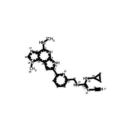 CNc1nc2[nH]c(-c3cccc(CN/C(=N/C#N)NC4CC4)n3)cc2c2c1ncn2C